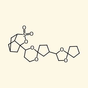 O=S1(=O)OC2(C3CCOC4(CCC(C5COC6(CCCC6)O5)C4)O3)CC3CC2C1C3